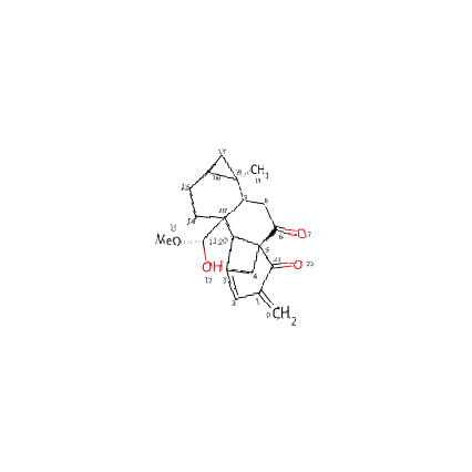 C=C1C=C2C[C@@]3(C(=O)CC4C([C@H](O)OC)(CCC5C[C@]54C)C23)C1=O